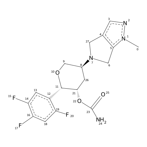 Cn1ncc2c1CN([C@@H]1CO[C@@H](c3cc(F)c(F)cc3F)[C@@H](OC(N)=O)C1)C2